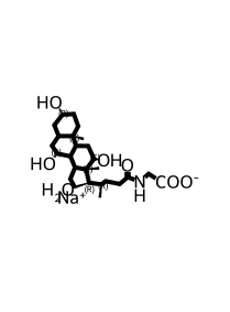 C[C@H](CCC(=O)NCC(=O)[O-])[C@H]1CCC2C3C(C[C@H](O)[C@@]21C)[C@@]1(C)CC[C@@H](O)CC1C[C@H]3O.O.[Na+]